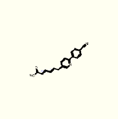 N#Cc1ccc(-c2ccc(C/C=C/C=C/C(=O)O)cn2)cc1